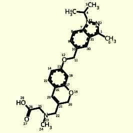 Cc1nn(C(C)C)c2ccc(COc3ccc4c(c3)OCC(CN(C)CC(=O)O)=C4)cc12